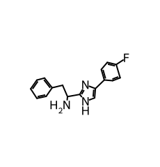 NC(Cc1ccccc1)c1nc(-c2ccc(F)cc2)c[nH]1